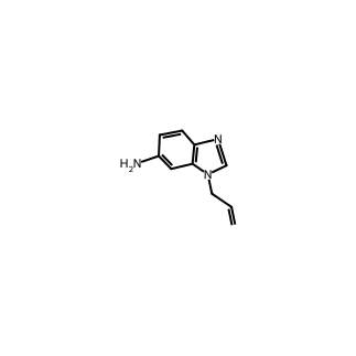 C=CCn1cnc2ccc(N)cc21